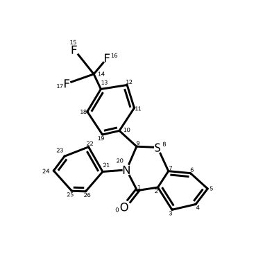 O=C1c2ccccc2SC(c2ccc(C(F)(F)F)cc2)N1c1ccccc1